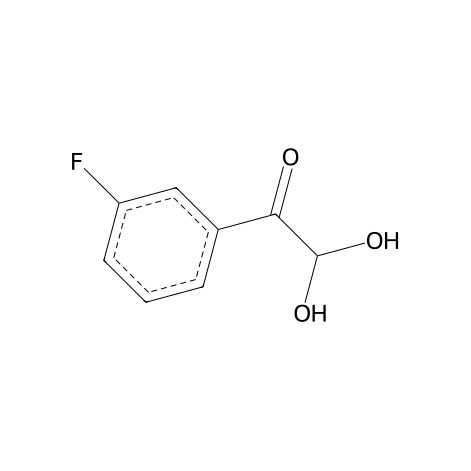 O=C(c1cccc(F)c1)C(O)O